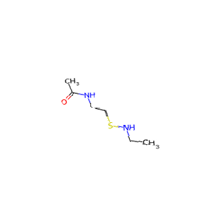 CCNSCCNC(C)=O